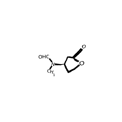 CN(C=O)[C@@H]1COC(=O)C1